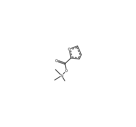 C[Si](C)(C)OC(=O)c1ccco1